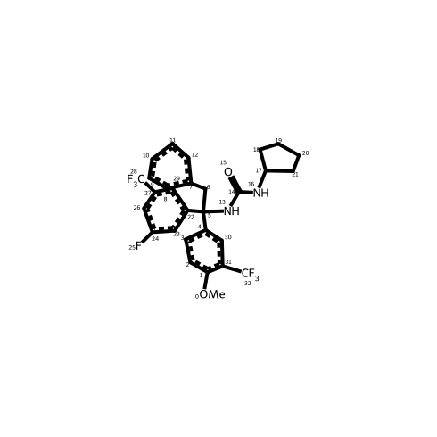 COc1ccc(C(Cc2ccccc2)(NC(=O)NC2CCCC2)c2cc(F)cc(C(F)(F)F)c2)cc1C(F)(F)F